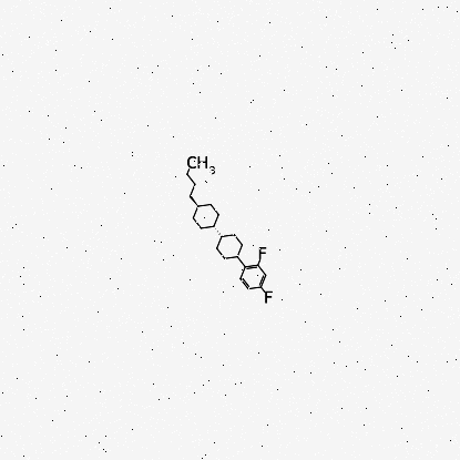 CCCC[C@H]1CC[C@H](C2CCC(c3ccc(F)cc3F)CC2)CC1